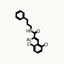 CC(=O)C(=Cc1c(Cl)cccc1Cl)C(=O)NCCCc1ccccc1